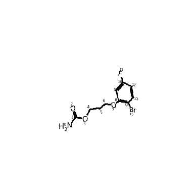 NC(=O)OCCCOc1cc(F)ccc1Br